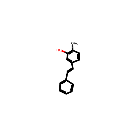 CC(=O)Oc1ccc(C=Cc2ccccc2)cc1O